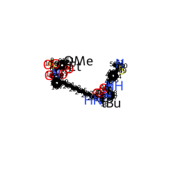 CCOc1cc([C@@H](CS(C)(=O)=O)N2C(=O)c3cccc(CCCCCCCCCCC(=O)NC(C(=O)N4CCCC4C(=O)NCc4ccc(-c5scnc5C)cc4)C(C)(C)C)c3C2=O)ccc1OC